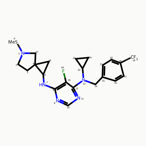 CSN1CCC2(CC2Nc2ncnc(N(Cc3ccc(C(F)(F)F)cc3)C3CC3)c2F)C1